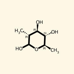 C[C@H]1OC(O)[C@H](C)[C@@H](O)[C@@H]1O